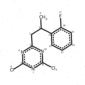 CC(Cc1nc(Cl)nc(Cl)n1)c1ccccc1F